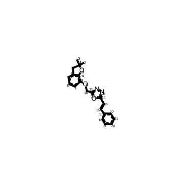 CC1(C)Cc2cccc(OCc3nnc(C=Cc4ccccc4)o3)c2O1